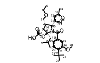 CCOC[C@H]1C[C@](CC(C)C)(OC(=O)O)N(C(=O)c2ccc(C(C)(C)C)c(OC)c2)[C@H]1c1cc(C)on1